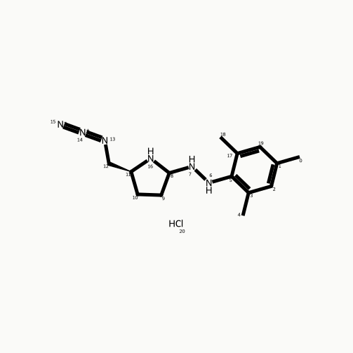 Cc1cc(C)c(NNC2CC[C@@H](CN=[N+]=[N-])N2)c(C)c1.Cl